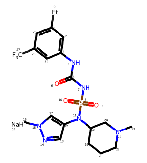 CCc1cc(NC(=O)NS(=O)(=O)N(c2cnn(C)c2)C2CCCN(C)C2)cc(C(F)(F)F)c1.[NaH]